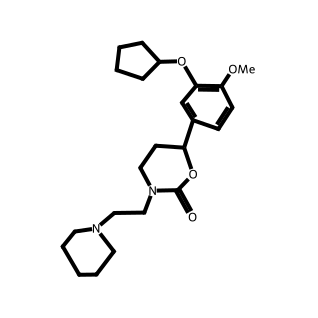 COc1ccc(C2CCN(CCN3CCCCC3)C(=O)O2)cc1OC1CCCC1